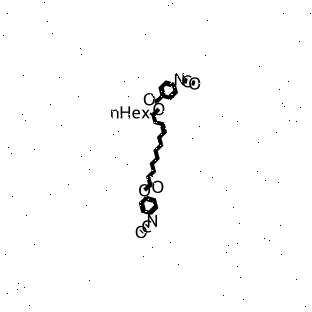 CCCCCC[C@H](C/C=C\CCCCCCCC(=O)Oc1ccc(N=C=O)cc1)OC(=O)c1ccc(N=C=O)cc1